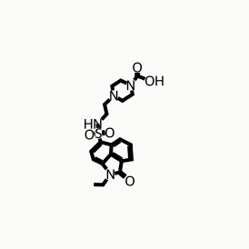 CCN1C(=O)c2cccc3c(S(=O)(=O)NCCN4CCN(C(=O)O)CC4)ccc1c23